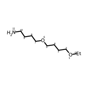 CCOCCCCOCCCCN